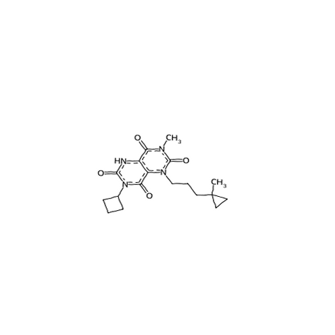 Cn1c(=O)c2[nH]c(=O)n(C3CCC3)c(=O)c2n(CCCC2(C)CC2)c1=O